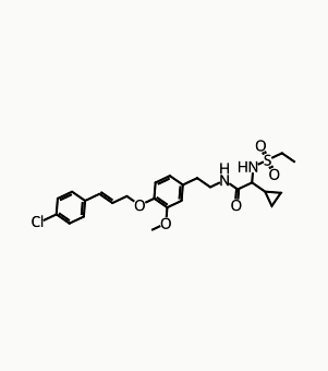 CCS(=O)(=O)NC(C(=O)NCCc1ccc(OCC=Cc2ccc(Cl)cc2)c(OC)c1)C1CC1